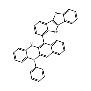 B1c2ccccc2N(c2ccccc2)c2cc3ccccc3c(-c3cccc4c3[nH]c3c5ccccc5oc43)c21